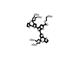 CCCCCCCCCCCCOC(=O)c1cc2c(-c3cc4c(s3)-c3sccc3OC4(CCCCCCCCCCCC)CCCCCCCCCCCC)sc(-c3cc4c(s3)-c3sccc3OC4(CCCCCCCCCCCC)CCCCCCCCCCCC)c2s1